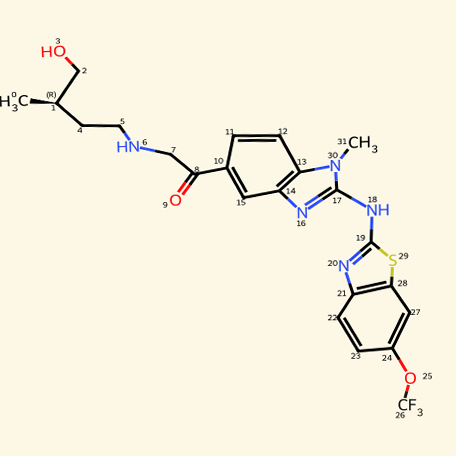 C[C@@H](CO)CCNCC(=O)c1ccc2c(c1)nc(Nc1nc3ccc(OC(F)(F)F)cc3s1)n2C